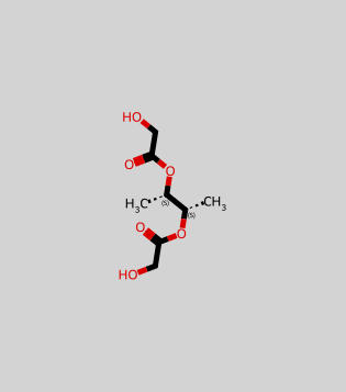 C[C@H](OC(=O)CO)[C@H](C)OC(=O)CO